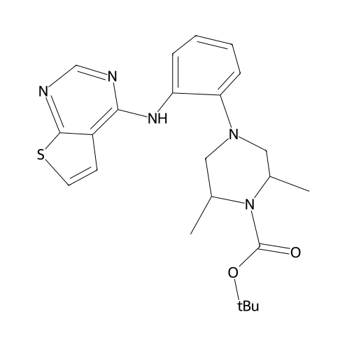 CC1CN(c2ccccc2Nc2ncnc3sccc23)CC(C)N1C(=O)OC(C)(C)C